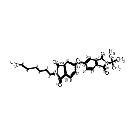 CCCCCCCN1C(=O)c2ccc(Oc3ccc4c(c3)C(=O)N(C(C)(C)C)C4=O)cc2C1=O